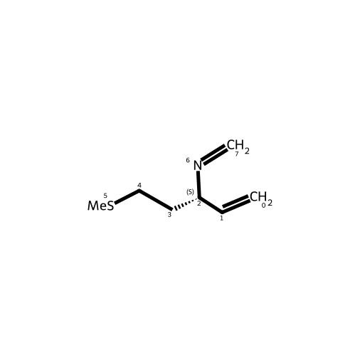 C=C[C@H](CCSC)N=C